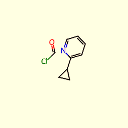 O=CCl.c1ccc(C2CC2)nc1